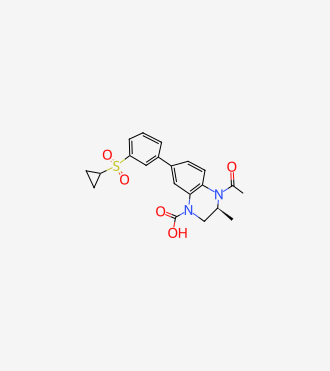 CC(=O)N1c2ccc(-c3cccc(S(=O)(=O)C4CC4)c3)cc2N(C(=O)O)C[C@@H]1C